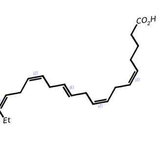 CC/C=C\C/C=C\C/C=C/C/C=C\C/C=C\CCCC(=O)O